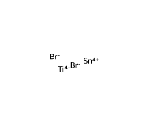 [Br-].[Br-].[Sn+4].[Ti+4]